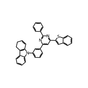 C1=Cc2c(c3ccccc3n2-c2cccc(-c3cc(-c4cc5ccccc5s4)nc(-c4ccccc4)n3)c2)CC1